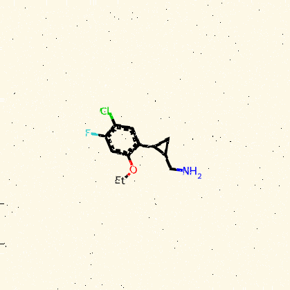 CCOc1cc(F)c(Cl)cc1C1CC1CN